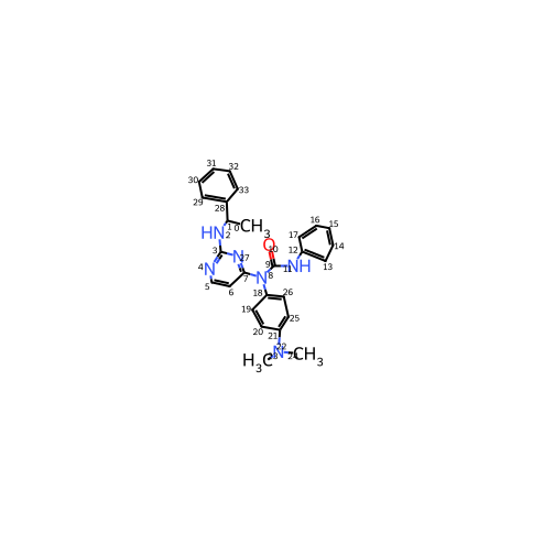 CC(Nc1nccc(N(C(=O)Nc2ccccc2)c2ccc(N(C)C)cc2)n1)c1ccccc1